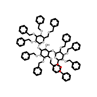 O[C@@H]1C(O[C@@H]2OC(COCc3ccccc3)[C@@H](OCc3ccccc3)[C@H](OCc3ccccc3)C2OCc2ccccc2)C(OCc2ccccc2)[C@@H](OCc2ccccc2)[C@H](OCc2ccccc2)C1O[C@H]1OC(COCc2ccccc2)[C@@H](OCc2ccccc2)C(OCc2ccccc2)[C@H]1OCc1ccccc1